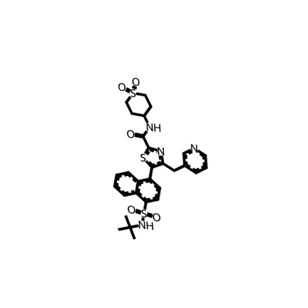 CC(C)(C)NS(=O)(=O)c1ccc(-c2sc(C(=O)NC3CCS(=O)(=O)CC3)nc2Cc2cccnc2)c2ccccc12